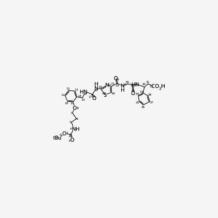 CC(C)(C)OC(=O)NCCCOc1ccccc1CNC(=O)Nc1nc(C(=O)NCC(=O)NC(CC(=O)O)c2ccccc2)cs1